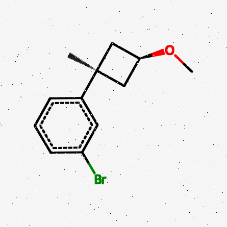 CO[C@H]1C[C@@](C)(c2cccc(Br)c2)C1